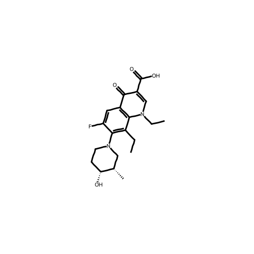 CCc1c(N2CC[C@@H](O)[C@@H](C)C2)c(F)cc2c(=O)c(C(=O)O)cn(CC)c12